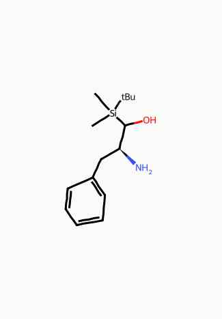 CC(C)(C)[Si](C)(C)C(O)[C@@H](N)Cc1ccccc1